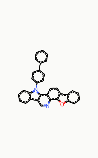 c1ccc(-c2ccc(-n3c4ccccc4c4cnc5c(ccc6c7ccccc7oc65)c43)cc2)cc1